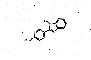 CCn1c(-c2ccc(OC)cc2)nc2ccccc21